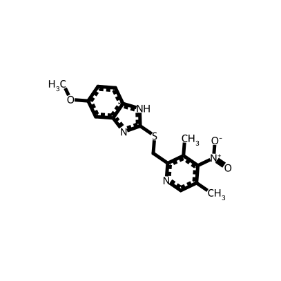 COc1ccc2[nH]c(SCc3ncc(C)c([N+](=O)[O-])c3C)nc2c1